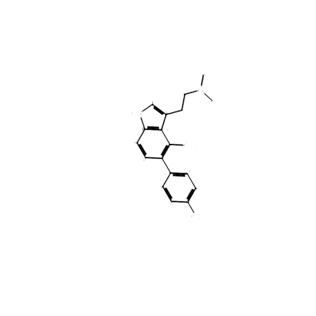 CN(C)CCc1c[nH]c2ccc(-c3ccc(Cl)cc3)c(Cl)c12